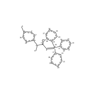 Cc1ccc(C(C)C(=O)C=P(c2ccccc2)(c2ccccc2)c2ccccc2)cc1